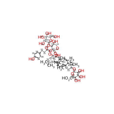 CC1(C)CCC2(C(=O)OC3OCC(O)C(OC4OC(CO)C(O)C(O)C4O)C3OC(=O)CCc3ccc(O)cc3)C(O)CC3(C)C(=CCC4C5(C)CCC(OC6OC(C(=O)O)C(O)C(O)C6O)C(C)(C)C5CCC43C)C2C1